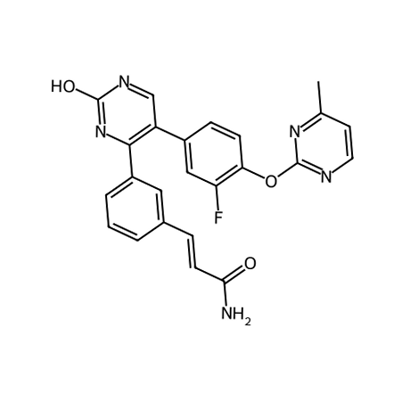 Cc1ccnc(Oc2ccc(-c3cnc(O)nc3-c3cccc(C=CC(N)=O)c3)cc2F)n1